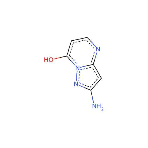 Nc1cc2nccc(O)n2n1